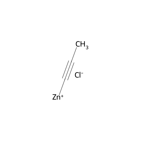 CC#[C][Zn+].[Cl-]